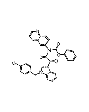 O=C(C(=O)N(C(=O)Oc1ccccc1)c1ccc2ncccc2c1)c1cn(Cc2ccc(Cl)cc2)c2ccccc12